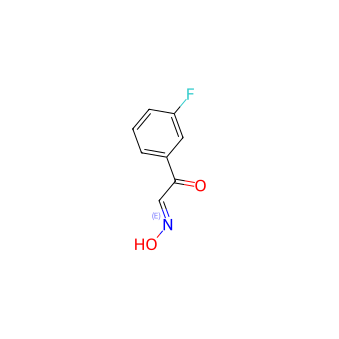 O=C(/C=N/O)c1cccc(F)c1